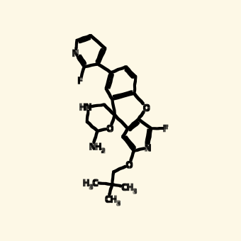 CC(C)(C)COc1cc2c(c(F)n1)Oc1ccc(-c3cccnc3F)cc1C21CNCC(N)O1